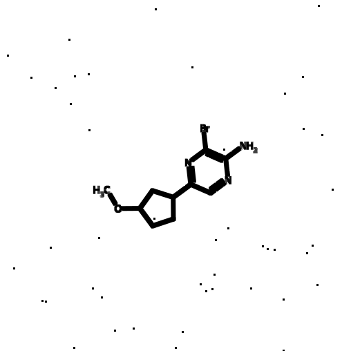 COC1CCC(c2cnc(N)c(Br)n2)C1